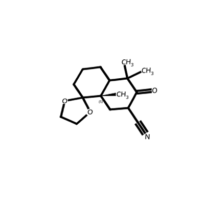 CC1(C)C(=O)C(C#N)C[C@@]2(C)C1CCCC21OCCO1